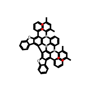 Cc1cc(C)c(B2c3cccc4c3-n3c5c2c(-c2ccccc2)c2c6ccccc6oc2c5c2c5c(oc6ccccc65)c(-c5ccccc5)c(c23)B4c2c(C)cc(C)cc2C)c(C)c1